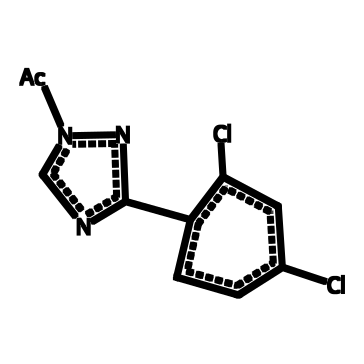 CC(=O)n1cnc(-c2ccc(Cl)cc2Cl)n1